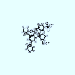 O=S(=O)([O-])c1ccc(OS(=O)(=O)c2c(C3CC4CCC3C4)cc(C3CC4CCC3C4)cc2C2CC3CCC2C3)cc1.[Na+]